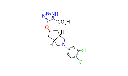 O=C(O)c1[nH]nnc1OC1C[C@@H]2CN(c3ccc(Cl)c(Cl)c3)C[C@@H]2C1